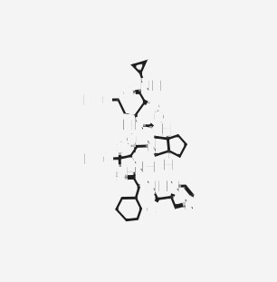 CCC[C@H](NC(=O)[C@@H]1[C@@H]2CCC[C@H]2CN1C(=O)[C@@H](NC(=O)[C@H](NC(=O)c1cnccn1)C1CCCCC1)C(C)(C)C)C(=O)C(=O)NC1CC1